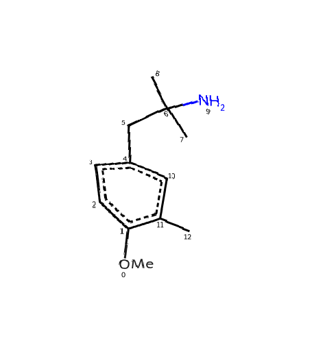 COc1ccc(CC(C)(C)N)cc1C